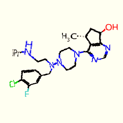 CC(C)NCCN(Cc1ccc(Cl)c(F)c1)N1CCN(c2ncnc3c2[C@H](C)C[C@H]3O)CC1